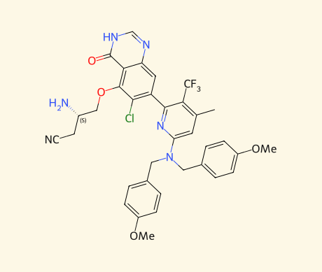 COc1ccc(CN(Cc2ccc(OC)cc2)c2cc(C)c(C(F)(F)F)c(-c3cc4nc[nH]c(=O)c4c(OC[C@@H](N)CC#N)c3Cl)n2)cc1